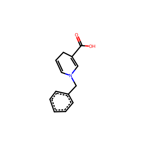 O=C(O)C1=CN(Cc2ccccc2)C=CC1